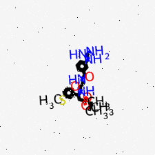 CSc1cccc(C(CC(=O)OC(C)(C)C)NC(=O)CNC(=O)c2cccc(NC(=N)N)c2)c1